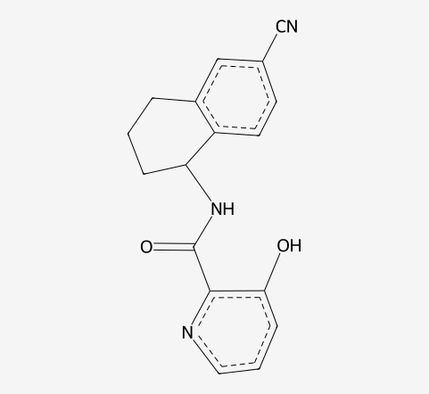 N#Cc1ccc2c(c1)CCCC2NC(=O)c1ncccc1O